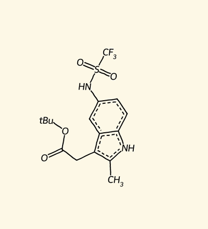 Cc1[nH]c2ccc(NS(=O)(=O)C(F)(F)F)cc2c1CC(=O)OC(C)(C)C